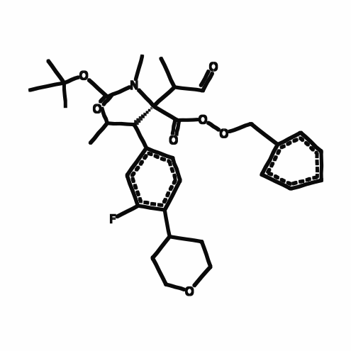 CC(C)C(c1ccc(C2CCOCC2)c(F)c1)[C@@](C(=O)OOCc1ccccc1)(C(C)C=O)N(C)C(=O)OC(C)(C)C